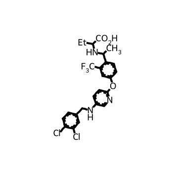 CCC(NC(C)c1ccc(Oc2ccc(NCc3ccc(Cl)c(Cl)c3)cn2)cc1C(F)(F)F)C(=O)O